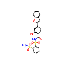 NS(=O)(=O)c1ccccc1S(=O)(=O)NC(=O)c1ccc(-c2cc3ccccc3o2)cc1O